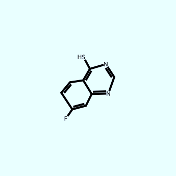 Fc1ccc2c(S)ncnc2c1